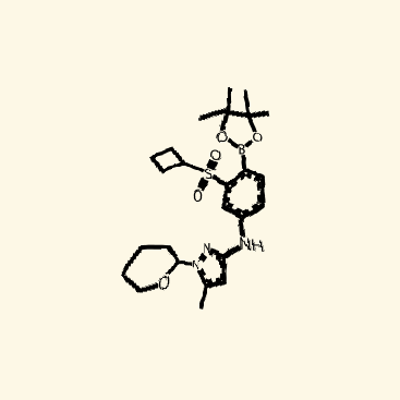 Cc1cc(Nc2ccc(B3OC(C)(C)C(C)(C)O3)c(S(=O)(=O)C3CCC3)c2)nn1C1CCCCO1